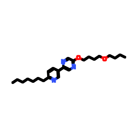 CCCCCCCc1ccc(-c2cnc(OCCCCOCCCC)cn2)cn1